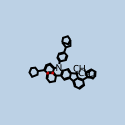 CC1(C)c2cc(N(C3=C=C=C(C4CCCCC4)C=C3)c3ccc(C4CC5CCC4C5)cc3)c(C3=CC=CCC3)cc2-c2cccc(-c3ccccc3)c21